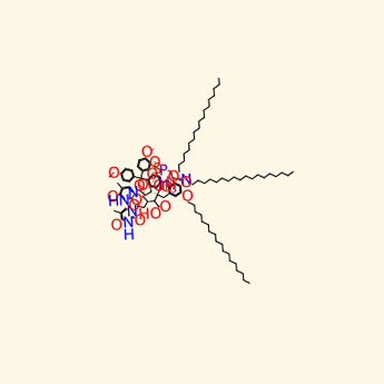 CCCCCCCCCCCCCCCCCCOc1cc(CC(C(=O)O)(C(C(=O)O)[C@H]2C[C@H](n3cc(C)c(=O)[nH]c3=O)O[C@@H]2COC(c2ccccc2)(c2ccc(OC)cc2)c2ccc(OC)cc2)[C@@H]2C[C@H](n3cc(C)c(=O)[nH]c3=O)O[C@@H]2COS(=O)[PH3]CCC#N)cc(OCCCCCCCCCCCCCCCCCC)c1OCCCCCCCCCCCCCCCCCC